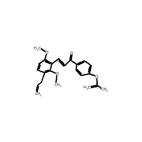 C=CCc1ccc(OC)c(C=CC(=O)c2ccc(OC(=C)C)cc2)c1OC